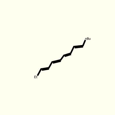 [CH2]CC=CC=CC=CC=CCCCC